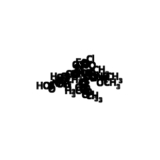 C#CC(C)Oc1cc(N2C(=O)C3=C(CCCC3)C2=O)c(F)cc1Cl.CON(C)C(=O)Nc1ccc(Oc2ccc3c(c2)OC(C)(OC)CC3(C)C)cc1.C[S+](C)C.O=C(O)CNCP(=O)([O-])O